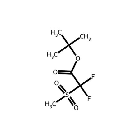 CC(C)(C)OC(=O)C(F)(F)S(C)(=O)=O